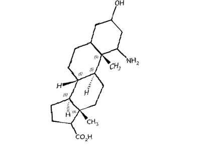 C[C@]12C(N)CC(O)CC1CC[C@@H]1[C@@H]2CC[C@]2(C)C(C(=O)O)CC[C@@H]12